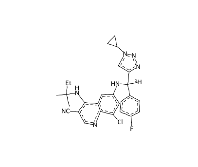 [2H]C(Nc1cc(Cl)c2ncc(C#N)c(NC(C)(C)CC)c2c1)(c1ccc(F)cc1)c1cn(C2CC2)nn1